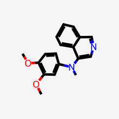 COc1ccc(N(C)c2cncc3ccccc23)cc1OC